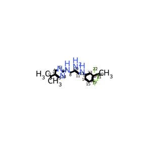 CC(C)c1cnc(NC/C(N)=C/Nc2ccc(F)c(C(C)(F)F)c2)nc1